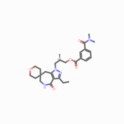 CCc1nn(C[C@@H](C)COC(=O)c2cccc(C(=O)N(C)C)c2)c2c1C(=O)NCC1(CCOCC1)C2